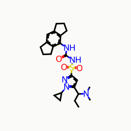 CCC(c1cc(S(=O)(=O)NC(=O)Nc2c3c(cc4c2CCC4)CCC3)nn1C1CC1)N(C)C